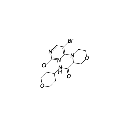 O=C(NC1CCOCC1)C1COCCN1c1nc(Cl)ncc1Br